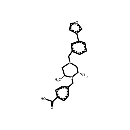 C[C@@H]1CN(Cc2cccc(-c3ccoc3)c2)C[C@H](C)N1Cc1ccc(C(=O)O)cc1